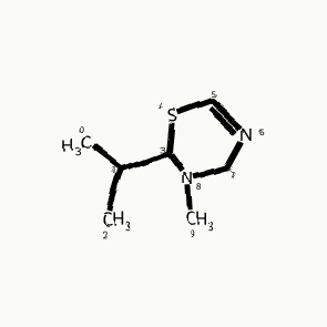 CC(C)C1SC=NCN1C